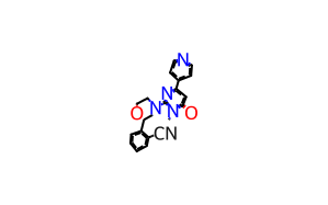 Cn1c(N2CCOC(c3ccccc3C#N)C2)nc(-c2ccncc2)cc1=O